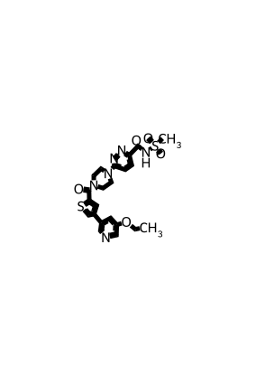 CCOc1cncc(-c2csc(C(=O)N3CCN(c4ccc(C(=O)NS(C)(=O)=O)nn4)CC3)c2)c1